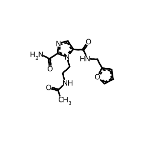 CC(=O)NCCn1c(C(=O)NCc2ccco2)cnc1C(N)=O